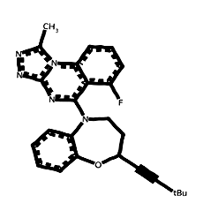 Cc1nnc2nc(N3CCC(C#CC(C)(C)C)Oc4ccccc43)c3c(F)cccc3n12